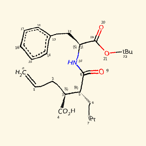 C=CC[C@H](C(=O)O)[C@@H](CC(C)C)C(=O)N[C@@H](Cc1ccccc1)C(=O)OC(C)(C)C